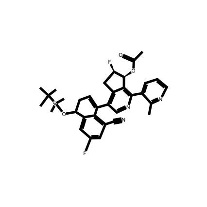 CC(=O)O[C@H]1c2c(-c3cccnc3C)ncc(C3=CCC(O[Si](C)(C)C(C)(C)C)c4cc(F)cc(C#N)c43)c2C[C@H]1F